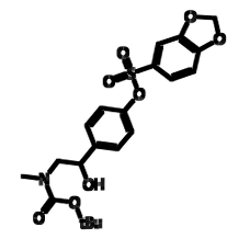 CN(CC(O)c1ccc(OS(=O)(=O)c2ccc3c(c2)OCO3)cc1)C(=O)OC(C)(C)C